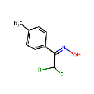 Cc1ccc(C(=NO)C(Cl)Br)cc1